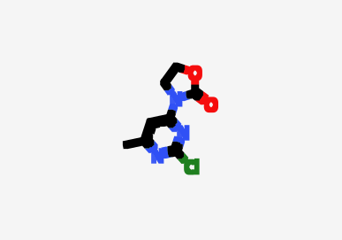 Cc1cc(N2CCOC2=O)nc(Cl)n1